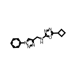 c1ccc(-n2cc(CNc3nnc(C4CCC4)o3)nn2)cc1